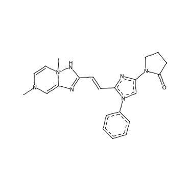 CN1C=C[N+]2(C)NC(/C=C/c3nc(N4CCCC4=O)cn3-c3ccccc3)=NC2=C1